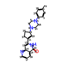 Cc1ccc(N2CCN([C@H]3C=C(c4cc5ncccc5c(=O)[nH]4)CC3)CC2)cc1